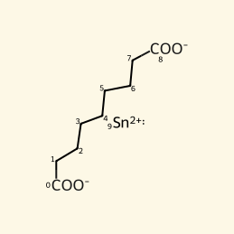 O=C([O-])CCCCCCCC(=O)[O-].[Sn+2]